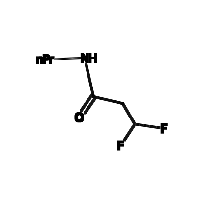 CCCNC(=O)CC(F)F